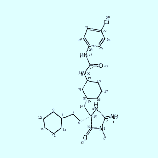 CN1C(=N)N[C@](CCC2CCCCC2)(C[C@H]2CCCC(NC(=O)Nc3ccc(Cl)cc3)C2)C1=O